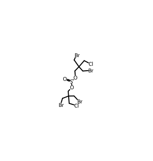 O=S(OCC(CCl)(CBr)CBr)OCC(CCl)(CBr)CBr